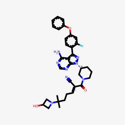 CC(C)(CC/C=C(\C#N)C(=O)N1CCC[C@@H](n2nc(-c3ccc(Oc4ccccc4)cc3F)c3c(N)ncnc32)C1)N1CC(O)C1